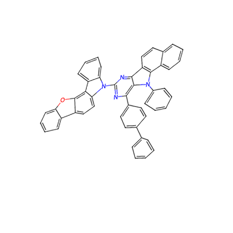 c1ccc(-c2ccc(-c3nc(-n4c5ccccc5c5c6oc7ccccc7c6ccc54)nc4c5ccc6ccccc6c5n(-c5ccccc5)c34)cc2)cc1